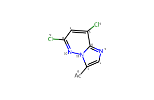 CC(=O)c1cnc2c(Cl)cc(Cl)nn12